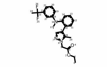 CCOC(=O)Cn1ncc(-c2ccccc2N(I)c2cccc(C(C)(F)F)c2)c1C